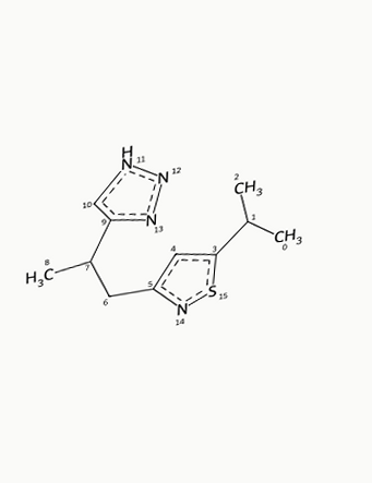 CC(C)c1cc(CC(C)c2c[nH]nn2)ns1